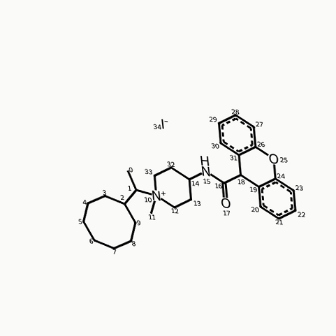 CC(C1CCCCCCC1)[N+]1(C)CCC(NC(=O)C2c3ccccc3Oc3ccccc32)CC1.[I-]